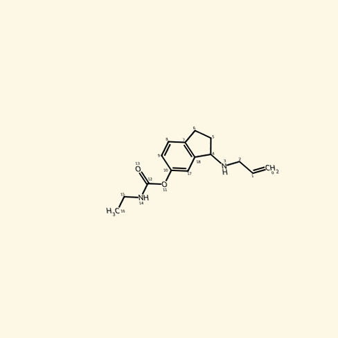 C=CCNC1CCc2ccc(OC(=O)NCC)cc21